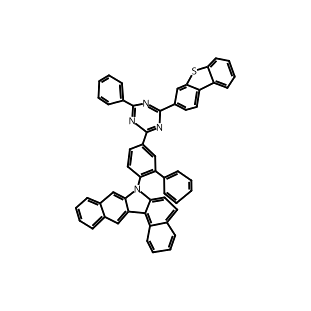 c1ccc(-c2nc(-c3ccc(-n4c5cc6ccccc6cc5c5c6ccccc6ccc54)c(-c4ccccc4)c3)nc(-c3ccc4c(c3)sc3ccccc34)n2)cc1